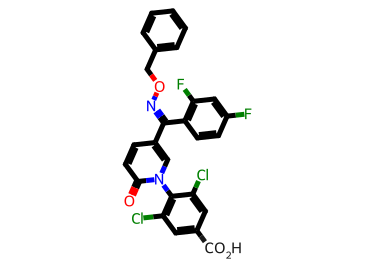 O=C(O)c1cc(Cl)c(-n2cc(/C(=N/OCc3ccccc3)c3ccc(F)cc3F)ccc2=O)c(Cl)c1